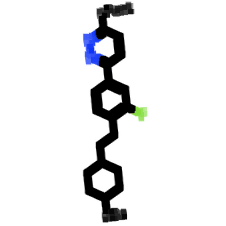 CCCCCc1ccc(-c2ccc(CCC3CCC(CCCC)CC3)c(F)c2)nn1